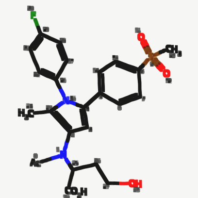 CC(=O)N(c1cc(-c2ccc(S(C)(=O)=O)cc2)n(-c2ccc(F)cc2)c1C)C(CCO)C(=O)O